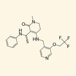 CN1CCC(NCc2ccncc2OCC(F)(F)F)=C(C(=S)Nc2ccccc2)C1=O